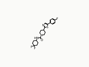 O=C(NC1CCC(F)(F)CC1)N1CCC(c2ncc(-c3ccc(F)cc3)s2)CC1